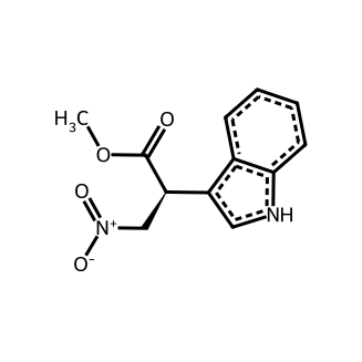 COC(=O)[C@H](C[N+](=O)[O-])c1c[nH]c2ccccc12